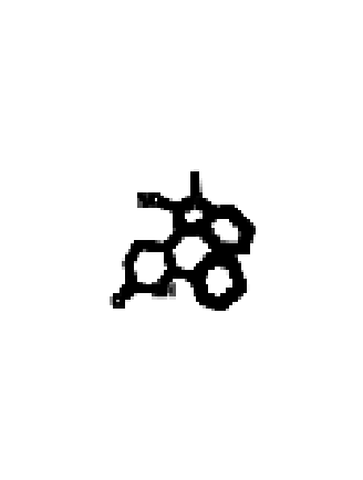 Cn1c(C#N)c(C2CCC(=O)NC2c2ccccc2)c2ccccc21